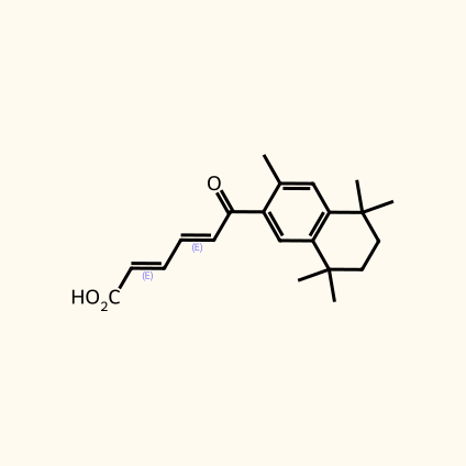 Cc1cc2c(cc1C(=O)/C=C/C=C/C(=O)O)C(C)(C)CCC2(C)C